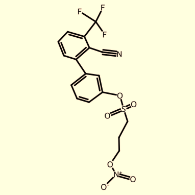 N#Cc1c(-c2cccc(OS(=O)(=O)CCCO[N+](=O)[O-])c2)cccc1C(F)(F)F